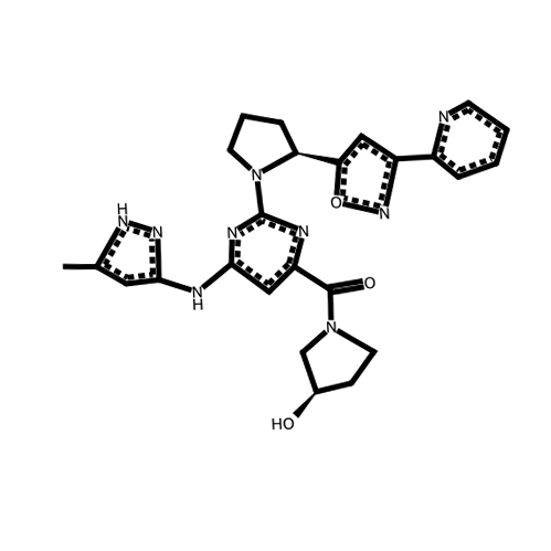 Cc1cc(Nc2cc(C(=O)N3CC[C@@H](O)C3)nc(N3CCC[C@H]3c3cc(-c4ccccn4)no3)n2)n[nH]1